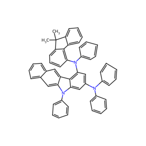 CC1(C)c2ccccc2-c2c(N(c3ccccc3)c3cc(N(c4ccccc4)c4ccccc4)cc4c3c3cc5ccccc5cc3n4-c3ccccc3)cccc21